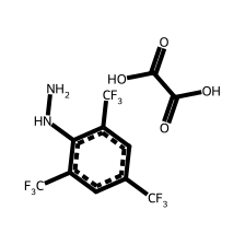 NNc1c(C(F)(F)F)cc(C(F)(F)F)cc1C(F)(F)F.O=C(O)C(=O)O